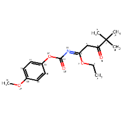 CCO/C(CC(=O)C(C)(C)C)=N\C(=O)Oc1ccc(OC)cc1